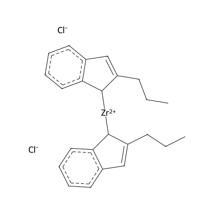 CCCC1=Cc2ccccc2[CH]1[Zr+2][CH]1C(CCC)=Cc2ccccc21.[Cl-].[Cl-]